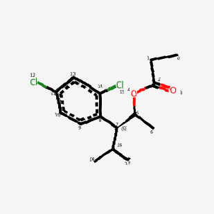 CCC(=O)OC(C)[C@H](c1ccc(Cl)cc1Cl)C(C)C